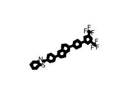 FC(F)(F)c1cc(-c2ccc(-c3ccc4cc(-c5ccc(-c6nc7ccccc7s6)cc5)ccc4c3)cc2)cc(C(F)(F)F)c1